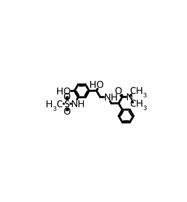 CN(C)C(=O)C(CNCC(O)c1ccc(O)c(NS(C)(=O)=O)c1)c1ccccc1